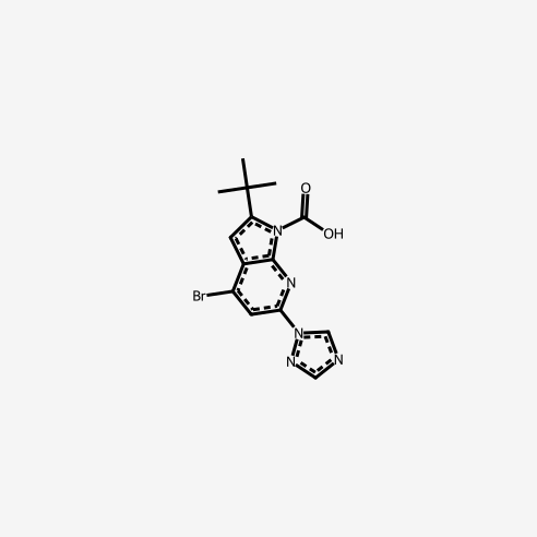 CC(C)(C)c1cc2c(Br)cc(-n3cncn3)nc2n1C(=O)O